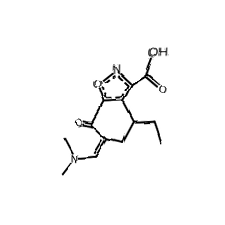 CCC1CC(=CN(C)C)C(=O)c2onc(C(=O)O)c21